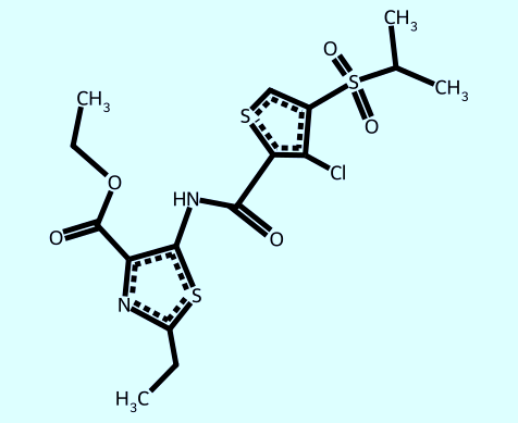 CCOC(=O)c1nc(CC)sc1NC(=O)c1scc(S(=O)(=O)C(C)C)c1Cl